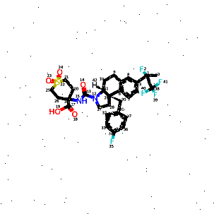 CC(F)(c1ccc2c(c1)CC[C@H]1N(C(=O)NC3(C(=O)O)CCS(=O)(=O)CC3)CC[C@@]21Cc1ccc(F)cc1)C(F)(F)F